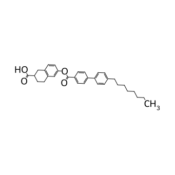 CCCCCCCCc1ccc(-c2ccc(C(=O)Oc3ccc4c(c3)CCC(C(=O)O)C4)cc2)cc1